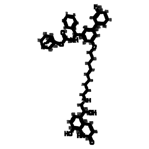 O=C(NC(c1ccccc1)c1cc(OCCCCCCCCCNCC(O)c2ccc(O)c3[nH]c(=O)ccc23)cc(-c2cccc(F)c2)c1)OC1CN2CCC1CC2